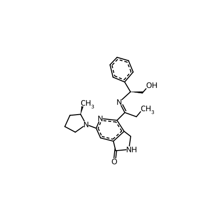 CC/C(=N\[C@H](CO)c1ccccc1)c1nc(N2CCC[C@H]2C)cc2c1CNC2=O